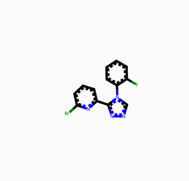 Fc1ccccc1-n1cnnc1-c1cccc(Br)n1